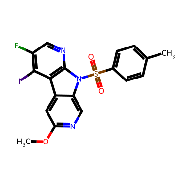 COc1cc2c3c(I)c(F)cnc3n(S(=O)(=O)c3ccc(C)cc3)c2cn1